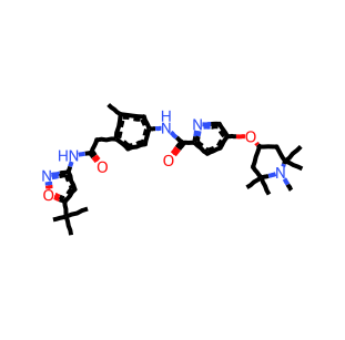 Cc1cc(NC(=O)c2ccc(OC3CC(C)(C)N(C)C(C)(C)C3)cn2)ccc1CC(=O)Nc1cc(C(C)(C)C)on1